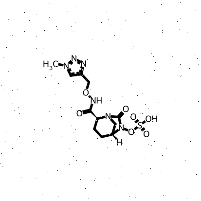 Cn1cc(CONC(=O)[C@@H]2CC[C@@H]3CN2C(=O)N3OS(=O)(=O)O)nn1